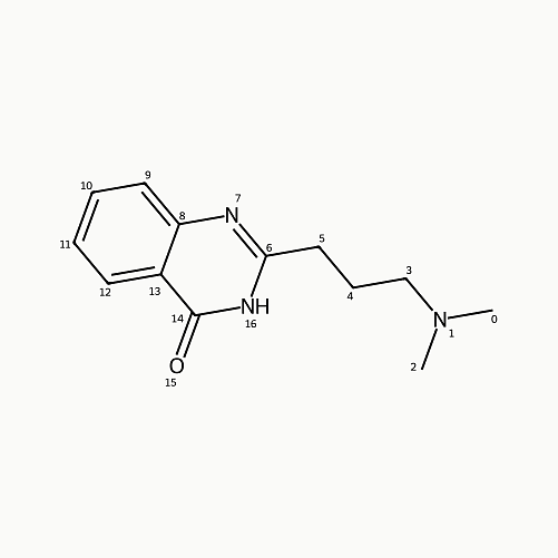 CN(C)CCCc1nc2ccccc2c(=O)[nH]1